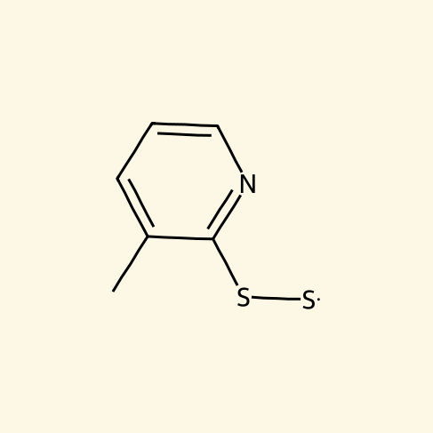 Cc1cccnc1S[S]